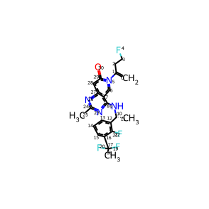 C=C(CCF)n1cc2c(N[C@H](C)c3cccc(C(C)(F)F)c3F)nc(C)nc2cc1=O